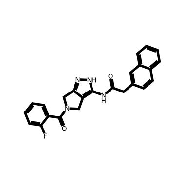 O=C(Cc1ccc2ccccc2c1)Nc1[nH]nc2c1CN(C(=O)c1ccccc1F)C2